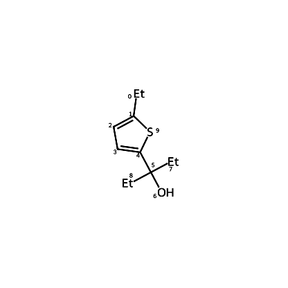 CCc1ccc(C(O)(CC)CC)s1